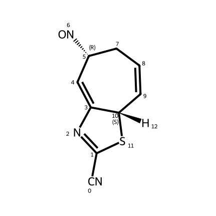 N#CC1=NC2=C[C@H](N=O)CC=C[C@@H]2S1